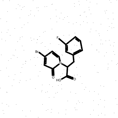 O=C(O)C(Cc1cccc(F)c1)n1ccc(Br)cc1=O